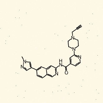 C#CCN1CCN(c2cc(C(=O)Nc3cc4cc(-c5cnn(C)c5)ccc4cn3)ccn2)CC1